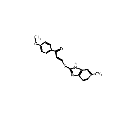 COc1ccc(C(=O)/C=C/Sc2nc3ccc(C)cc3[nH]2)cc1